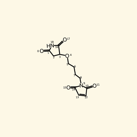 O=C1CC(OCCCCN2C(=O)C=CC2=O)C(=O)N1